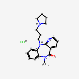 CN1C(=O)c2cccnc2N(CCCN2CCCC2)c2ccccc21.Cl